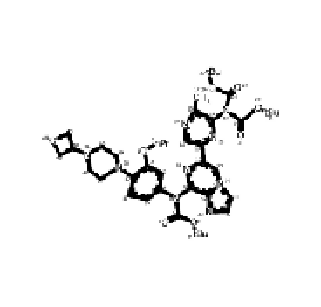 CCCOc1cc(N(C(=O)OC(C)(C)C)c2nc(-c3cnc(C)c(N(C(=O)OC(C)(C)C)C(=O)OC(C)(C)C)n3)cn3ccnc23)ccc1N1CCN(C2COC2)CC1